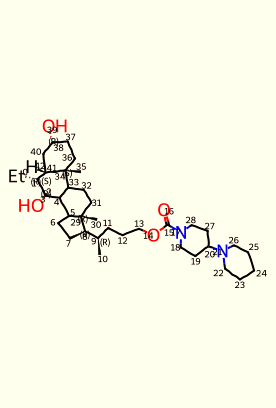 CC[C@H]1[C@@H](O)C2C3CC[C@H]([C@H](C)CCCOC(=O)N4CCC(N5CCCCC5)CC4)[C@@]3(C)CCC2[C@@]2(C)CC[C@@H](O)C[C@@H]12